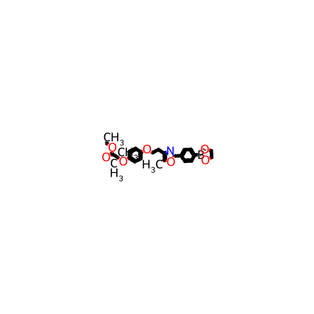 CCOC(=O)C(C)(C)Oc1ccc(OCCc2nc(-c3ccc(B4OCCO4)cc3)oc2C)cc1